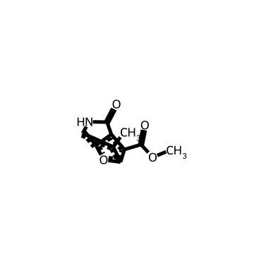 COC(=O)c1c2c3oc1c(C)c3NC2=O